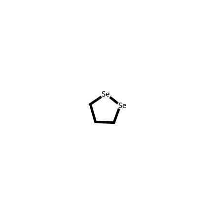 [CH]1CC[Se][Se]1